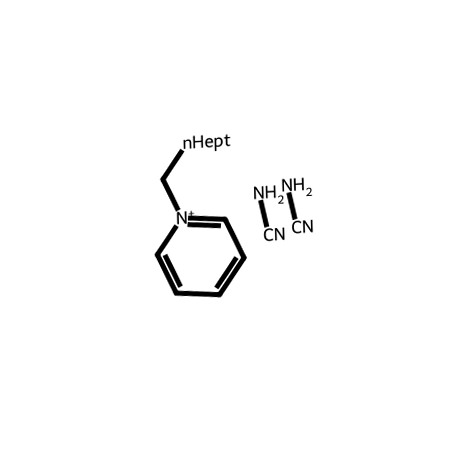 CCCCCCCC[n+]1ccccc1.N#CN.N#CN